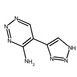 Nc1nnncc1-c1c[nH]nn1